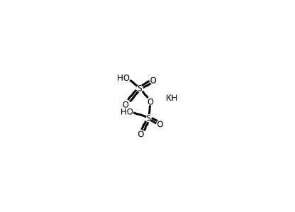 O=S(=O)(O)OS(=O)(=O)O.[KH]